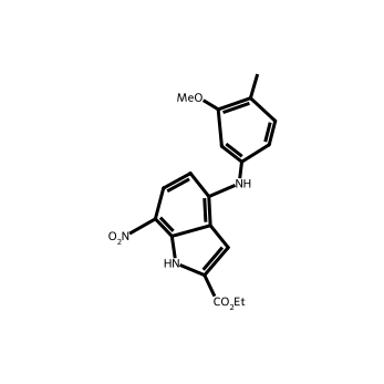 CCOC(=O)c1cc2c(Nc3ccc(C)c(OC)c3)ccc([N+](=O)[O-])c2[nH]1